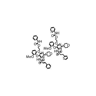 COc1ccccc1Oc1c(NS(=O)(=O)C=Cc2ccccc2)nc(N2CCOCC2)nc1OCCOC(=O)Nc1ccccc1.COc1ccccc1Oc1c(NS(=O)(=O)CCc2cccs2)nc(N2CCOCC2)nc1OCCOC(=O)Nc1ccccn1